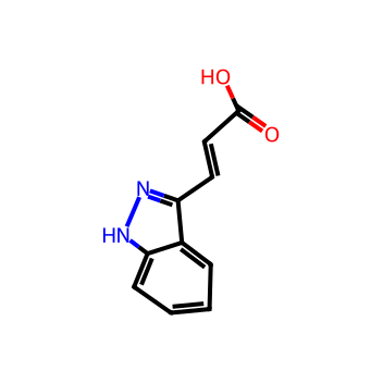 O=C(O)C=Cc1n[nH]c2ccccc12